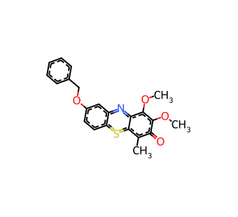 COc1c2nc3cc(OCc4ccccc4)ccc3sc-2c(C)c(=O)c1OC